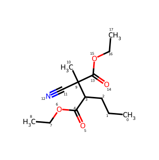 CCCC(C(=O)OCC)C(C)(C#N)C(=O)OCC